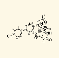 C[C@@H]1CN2c3ncc(-c4ccc(Cl)cn4)cc3CC3(C(=O)NC(=O)NC3=O)[C@H]2[C@H](C)O1